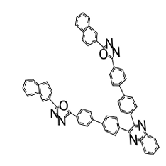 c1ccc2cc(-c3nnc(-c4ccc(-c5ccc(-c6nc7ccccc7nc6-c6ccc(-c7ccc(-c8nnc(-c9ccc%10ccccc%10c9)o8)cc7)cc6)cc5)cc4)o3)ccc2c1